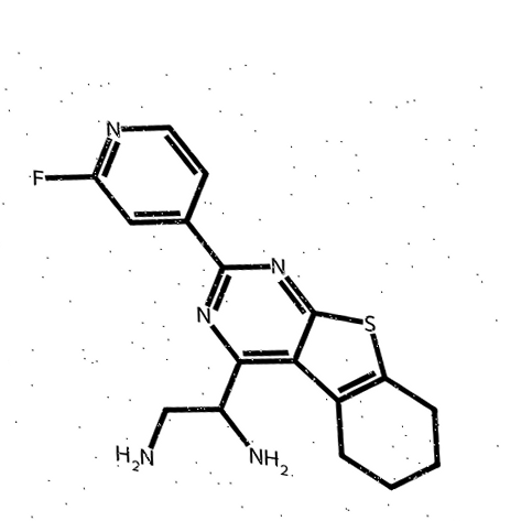 NCC(N)c1nc(-c2ccnc(F)c2)nc2sc3c(c12)CCCC3